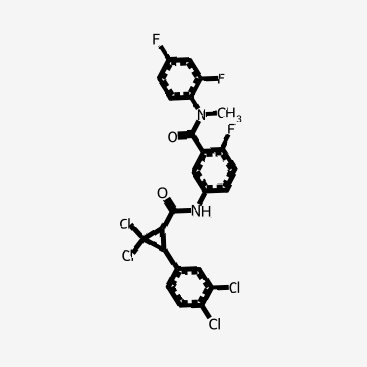 CN(C(=O)c1cc(NC(=O)C2C(c3ccc(Cl)c(Cl)c3)C2(Cl)Cl)ccc1F)c1ccc(F)cc1F